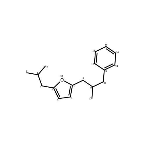 CC(C)Cc1ccc(CC(C)Cc2ccccc2)o1